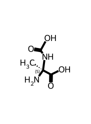 C[C@](N)(NC(=O)O)C(=O)O